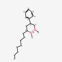 CCCCCCCCC(CC(COC)c1ccccc1)OC